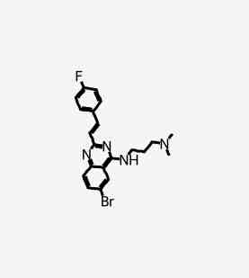 CN(C)CCCNc1nc(C=Cc2ccc(F)cc2)nc2ccc(Br)cc12